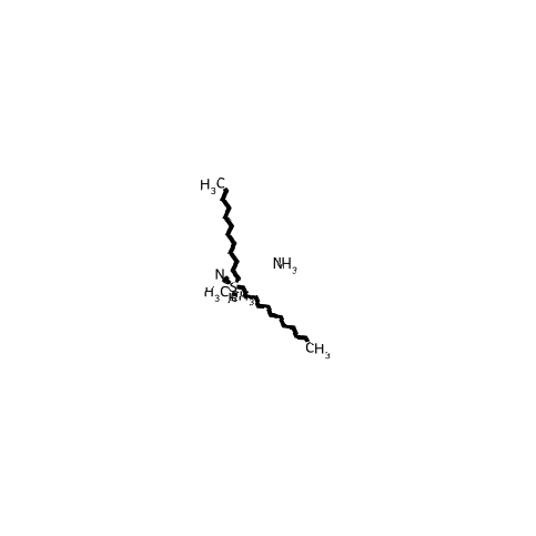 CCCCCCCCCCCC[SH](C)(C)(C#N)CCCCCCCCCCCC.N